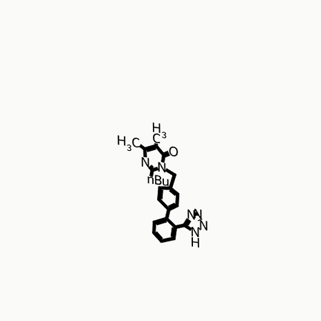 CCCCc1nc(C)c(C)c(=O)n1Cc1ccc(-c2ccccc2-c2nnn[nH]2)cc1